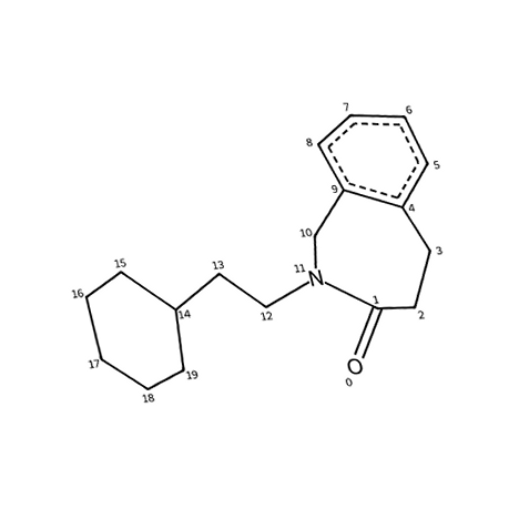 O=C1CCc2ccccc2CN1CCC1CCCCC1